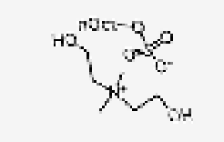 CCCCCCCCOS(=O)(=O)[O-].C[N+](C)(CCO)CCO